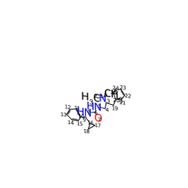 CN(C)C(CNC(=O)NC(c1ccccc1)C1CC1)Cc1ccccc1